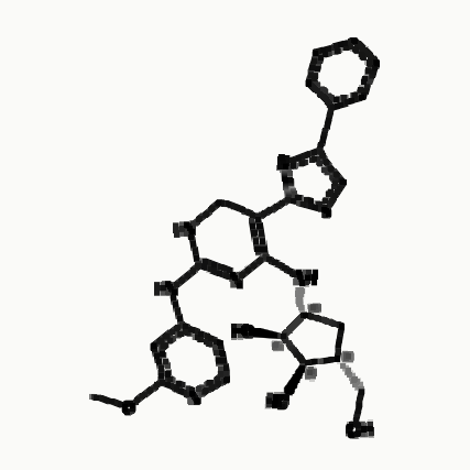 COc1cc(NC2=NC(N[C@@H]3C[C@H](CO)[C@@H](O)[C@H]3O)=C(c3nc(-c4ccccc4)cs3)CN2)ccn1